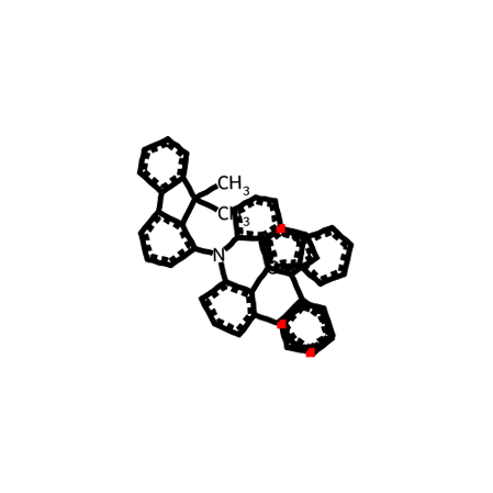 CC1(C)c2ccccc2-c2cccc(N(c3cccc(-c4ccccc4)c3-c3ccccc3-c3ccccc3)c3cccc4c3oc3ccccc34)c21